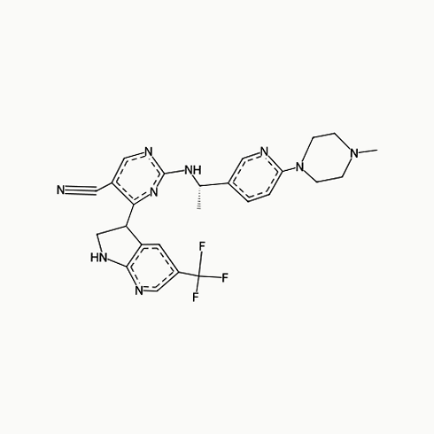 C[C@H](Nc1ncc(C#N)c(C2CNc3ncc(C(F)(F)F)cc32)n1)c1ccc(N2CCN(C)CC2)nc1